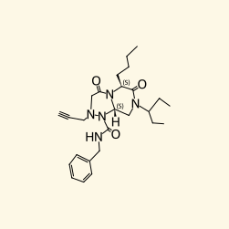 C#CCN1CC(=O)N2[C@@H](CCCC)C(=O)N(C(CC)CC)C[C@@H]2N1C(=O)NCc1ccccc1